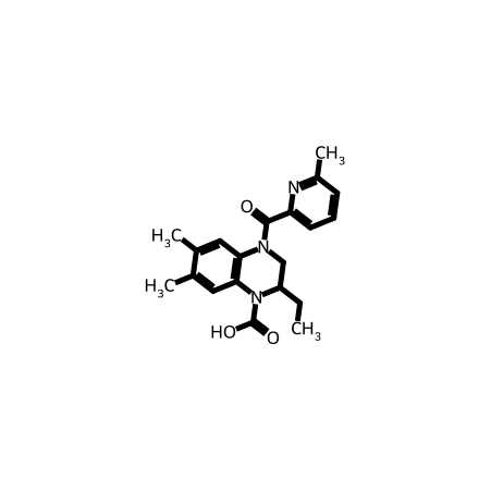 CCC1CN(C(=O)c2cccc(C)n2)c2cc(C)c(C)cc2N1C(=O)O